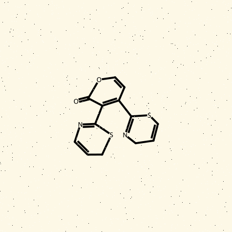 O=c1occc(C2=NCC=CS2)c1C1=NC=CCS1